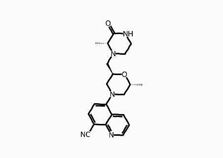 C[C@@H]1CN(c2ccc(C#N)c3ncccc23)C[C@@H](CN2CCNC(=O)[C@H]2C)O1